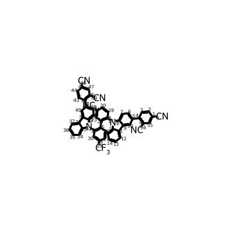 N#Cc1ccc(-c2ccc3c(c2)c2ccccc2n3-c2ccc(C#N)cc2-c2ccc(C(F)(F)F)cc2-n2c3ccccc3c3cc(-c4ccc(C#N)cc4C#N)ccc32)c(C#N)c1